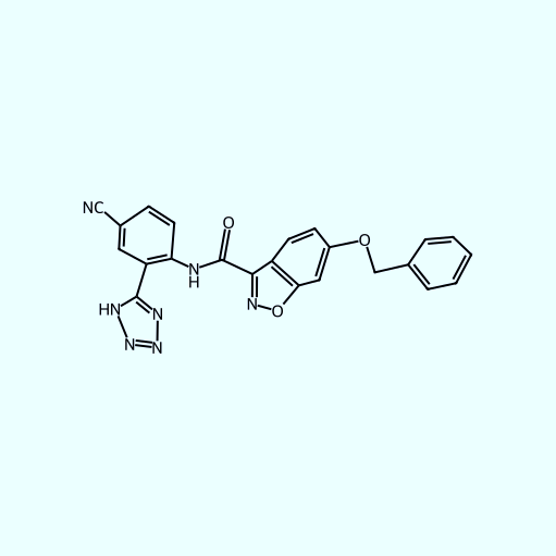 N#Cc1ccc(NC(=O)c2noc3cc(OCc4ccccc4)ccc23)c(-c2nnn[nH]2)c1